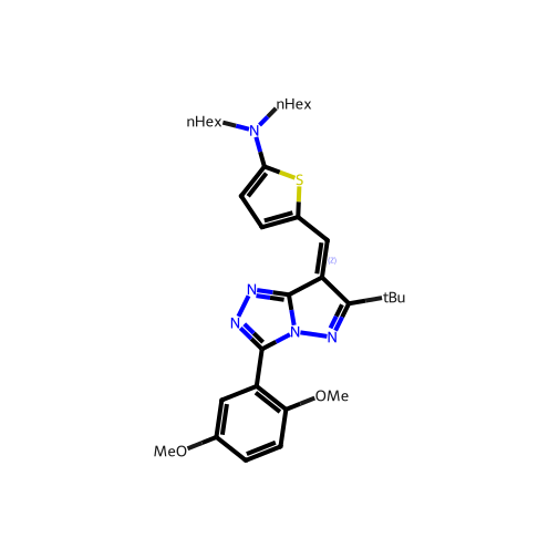 CCCCCCN(CCCCCC)c1ccc(/C=c2/c(C(C)(C)C)nn3c(-c4cc(OC)ccc4OC)nnc23)s1